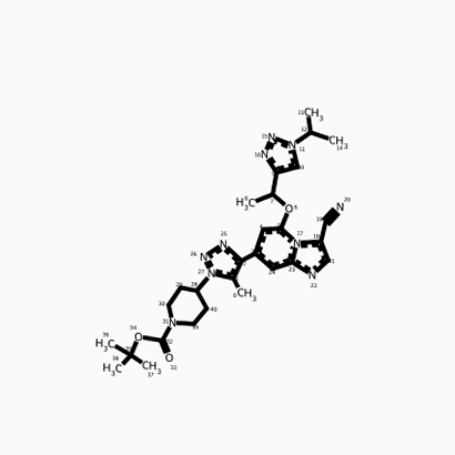 Cc1c(-c2cc(OC(C)c3cn(C(C)C)nn3)n3c(C#N)cnc3c2)nnn1C1CCN(C(=O)OC(C)(C)C)CC1